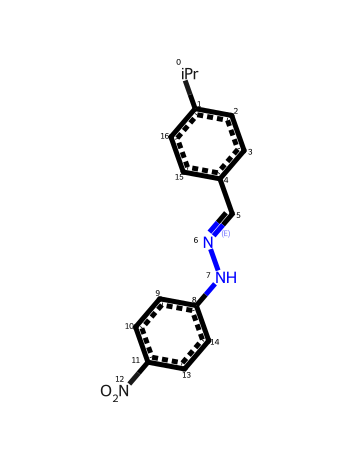 CC(C)c1ccc(/C=N/Nc2ccc([N+](=O)[O-])cc2)cc1